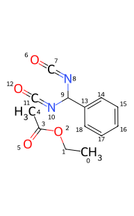 CCOC(C)=O.O=C=NC(N=C=O)c1ccccc1